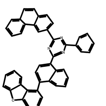 c1ccc(-c2nc(-c3ccc4ccc5ccccc5c4c3)nc(-c3ccc(-c4cccc5oc6ccccc6c45)c4ccccc34)n2)cc1